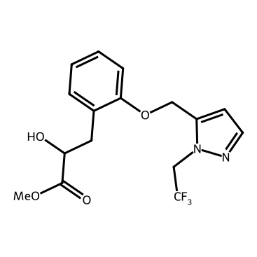 COC(=O)C(O)Cc1ccccc1OCc1ccnn1CC(F)(F)F